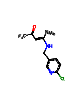 CNC(=CC(=O)C(F)(F)F)NCc1ccc(Cl)nc1